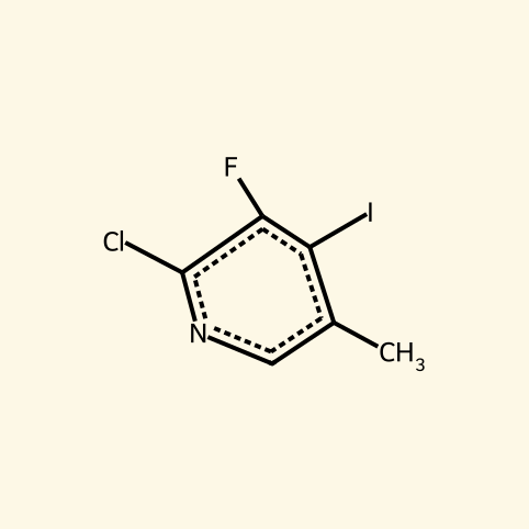 Cc1cnc(Cl)c(F)c1I